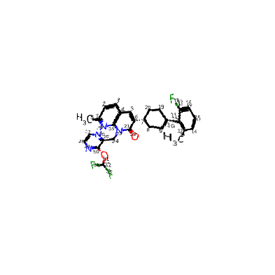 Cc1ccc2cc([C@H]3CC[C@H](c4c(C)cccc4F)CC3)c(=O)n(Cc3nccnc3OC(F)F)c2n1